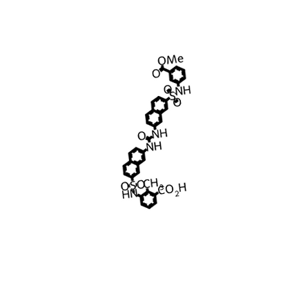 COC(=O)c1cccc(NS(=O)(=O)c2ccc3ccc(NC(=O)Nc4ccc5ccc(S(=O)(=O)Nc6cccc(C(=O)O)c6C)cc5c4)cc3c2)c1